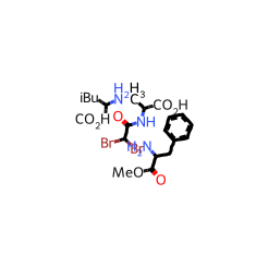 CC(NC(=O)C(Br)Br)C(=O)O.CCC(C)C(N)C(=O)O.COC(=O)C(N)Cc1ccccc1